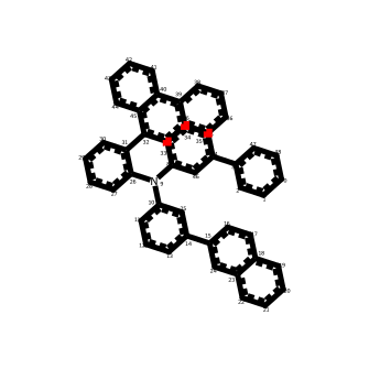 c1ccc(-c2cccc(N(c3cccc(-c4ccc5ccccc5c4)c3)c3ccccc3-c3cc4ccccc4c4ccccc34)c2)cc1